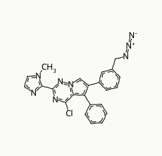 Cn1ccnc1-c1nc(Cl)c2c(-c3ccccc3)c(-c3cccc(CN=[N+]=[N-])c3)cn2n1